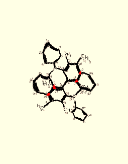 Cc1cc(C)c(-c2c(C)cc(C)c(C)c2P(c2ccccc2)c2ccccc2)c(P(c2ccccc2)c2ccccc2)c1C